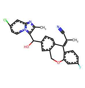 CC(C#N)=C1c2ccc(C(O)c3c(C)nc4cc(Cl)ccn34)cc2COc2cc(F)ccc21